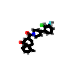 Cc1cccc2c1CCC(C(=O)N1CCC(c3cccc(F)c3Cl)CC1)CC2=O